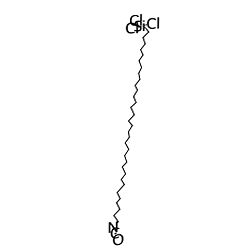 O=C=NCCCCCCCCCCCCCCCCCCCCCCCCCCCCCCCCC[Si](Cl)(Cl)Cl